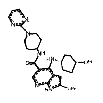 CCCc1cc2c(N[C@H]3CC[C@H](O)CC3)c(C(=O)NC3CCN(c4ncccn4)CC3)cnc2[nH]1